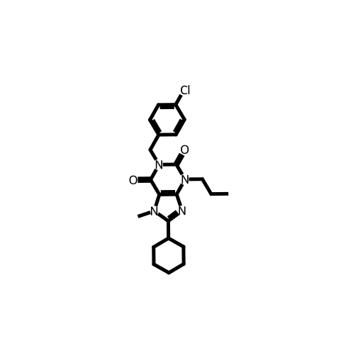 CCCn1c(=O)n(Cc2ccc(Cl)cc2)c(=O)c2c1nc(C1CCCCC1)n2C